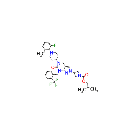 Cc1cccc(F)c1N1CCC(N2Cc3cn(C4CN(C(=O)OCC(C)C)C4)nc3N(Cc3ccccc3C(F)(F)F)C2=O)CC1